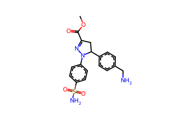 COC(=O)C1=NN(c2ccc(S(N)(=O)=O)cc2)C(c2ccc(CN)cc2)C1